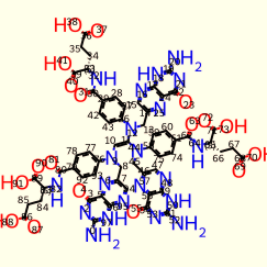 Nc1nc(=O)c2nc(CN(C=C(N(Cc3cnc4[nH]c(N)nc(=O)c4n3)c3ccc(C(=O)N[C@@H](CCC(=O)O)C(=O)O)cc3)N(Cc3cnc4[nH]c(N)nc(=O)c4n3)c3ccc(C(=O)N[C@@H](CCC(=O)O)C(=O)O)cc3)c3ccc(C(=O)N[C@@H](CCC(=O)O)C(=O)O)cc3)cnc2[nH]1